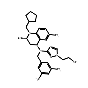 CC[C@@H]1C[C@H](N(Cc2cc(C(F)(F)F)cc(C(F)(F)F)c2)c2nnn(CCO)n2)c2cc(C(F)(F)F)ccc2N1CC1CCCC1